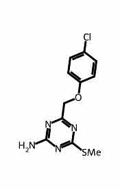 CSc1nc(N)nc(COc2ccc(Cl)cc2)n1